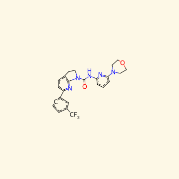 O=C(Nc1cccc(N2CCOCC2)n1)N1CCc2ccc(-c3cccc(C(F)(F)F)c3)nc21